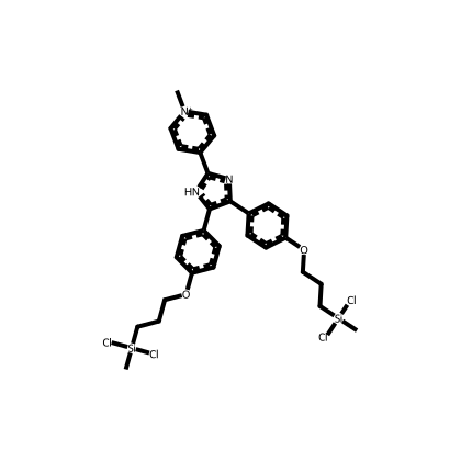 C[n+]1ccc(-c2nc(-c3ccc(OCCC[Si](C)(Cl)Cl)cc3)c(-c3ccc(OCCC[Si](C)(Cl)Cl)cc3)[nH]2)cc1